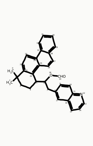 CC1(C)CCC(C(Cc2ccc3ncccc3c2)OC=O)c2c1ccc1c2ccc2ccccc21